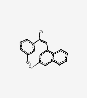 N#CC(=Cc1cc([N+](=O)[O-])cc2ccccc12)c1cccc(C(F)(F)F)c1